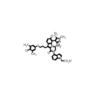 Cc1cc(OCCCc2c3n(c4c(-c5c(C)nn(C)c5C)c(Cl)ccc24)C(C)CN(c2cccc4c2ccn4CC(=O)O)C3=O)cc(C)c1Cl